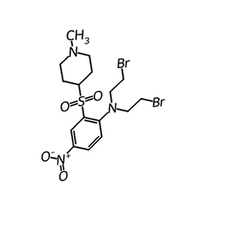 CN1CCC(S(=O)(=O)c2cc([N+](=O)[O-])ccc2N(CCBr)CCBr)CC1